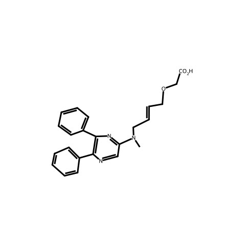 CN(CC=CCOCC(=O)O)c1cnc(-c2ccccc2)c(-c2ccccc2)n1